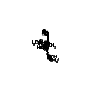 CCOC(=O)COC(C(=O)O)C(OCCCCCc1ccc(C)c(C)c1)C(=O)N(C)CCCCCc1ccc2c(c1)OCO2